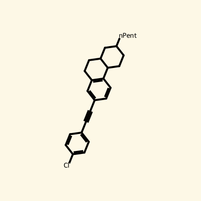 CCCCCC1CCC2c3ccc(C#Cc4ccc(Cl)cc4)cc3CCC2C1